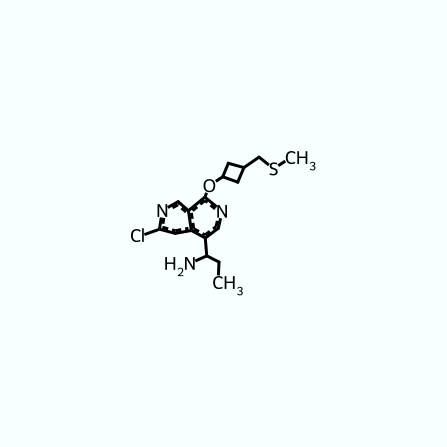 CCC(N)c1cnc(OC2CC(CSC)C2)c2cnc(Cl)cc12